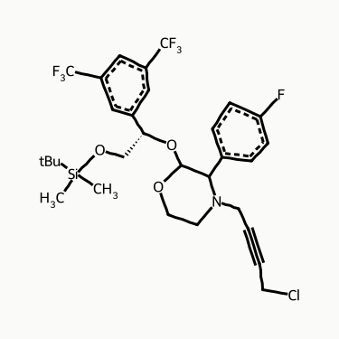 CC(C)(C)[Si](C)(C)OC[C@@H](OC1OCCN(CC#CCCl)C1c1ccc(F)cc1)c1cc(C(F)(F)F)cc(C(F)(F)F)c1